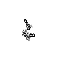 O=C(Nc1cccc(S(=O)(=O)Nc2cc3ccccc3cc2C(=O)O)c1)Nc1cccc(S(=O)(=O)Nc2cc3ccccc3cc2C(=O)O)c1